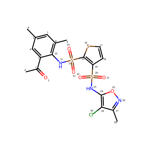 CC(=O)c1cc(C)cc(C)c1NS(=O)(=O)c1sccc1S(=O)(=O)Nc1onc(C)c1Cl